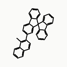 Cc1c(-c2ccc3c(c2)C2(c4ccccc4-c4ccccc42)c2ccccc2-3)ccc2ccccc12